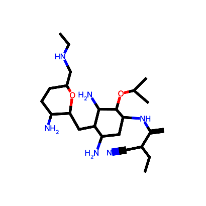 C=C(NC1CC(N)C(CC2OC(CNCC)CCC2N)C(N)C1OC(C)C)C(C#N)CC